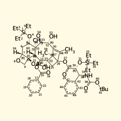 CC[Si](CC)(CC)O[C@H]1C[C@H]2OC[C@@]2(OC(C)=O)[C@H]2[C@H](OC(=O)c3ccccc3)[C@]3(O)CC4(OC(=O)[C@H](O[Si](CC)(CC)CC)C(NC(=O)OC(C)(C)C)c5ccccc5)C(C)=C([C@@H](O)C(=O)[C@]12C)[C@@]43C